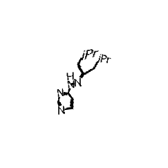 CC(C)CC(CC(C)C)=NNc1ccncn1